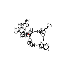 CO[C@H]1[C@H]2OP(=O)(S)OCc3nc4cncnc4n3CCOP(=S)(OCCC#N)OC[C@H]1O[C@H]2n1cnc2c(=O)[nH]c(NC(=O)C(C)C)nc21